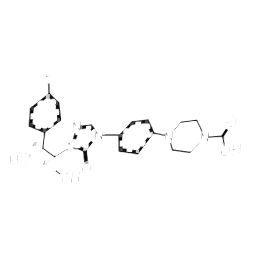 CC[C@H]([C@H](O)c1ccc(F)cc1)n1ncn(-c2ccc(N3CCN(C(=O)O)CC3)cc2)c1=O